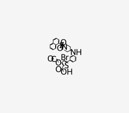 O=C=COc1c(C(=O)O)sc(-c2cccc(NC3CCN(S(=O)(=O)c4cccc5ccccc45)CC3)c2)c1Br